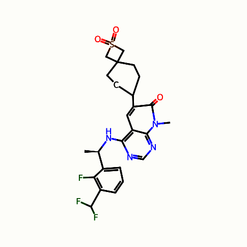 C[C@@H](Nc1ncnc2c1cc(C1CCC3(CC1)CS(=O)(=O)C3)c(=O)n2C)c1cccc(C(F)F)c1F